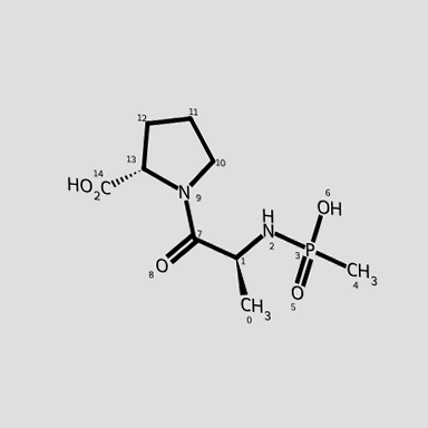 C[C@H](NP(C)(=O)O)C(=O)N1CCC[C@H]1C(=O)O